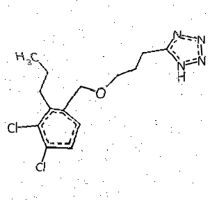 CCCc1c(COCCCc2nnn[nH]2)ccc(Cl)c1Cl